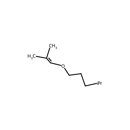 CC(C)=COCCCC(C)C